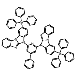 c1ccc(-c2cc(-n3c4ccc([Si](c5ccccc5)(c5ccccc5)c5ccccc5)cc4n4c5ccccc5nc34)nc(-n3c4ccc([Si](c5ccccc5)(c5ccccc5)c5ccccc5)cc4n4c5ccccc5nc34)n2)cc1